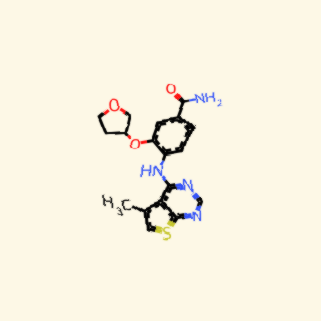 Cc1csc2ncnc(Nc3ccc(C(N)=O)cc3OC3CCOC3)c12